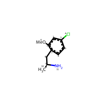 COc1cc(Cl)ccc1C[C@H](C)N